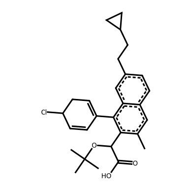 Cc1cc2ccc(CCC3CC3)cc2c(C2=CCC(Cl)C=C2)c1C(OC(C)(C)C)C(=O)O